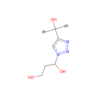 CC(C)C(O)(c1cn(C(O)CCO)nn1)C(C)C